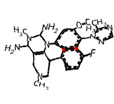 COc1cc(N2C3=C(CN(C)CC3c3ccc(F)cc3)C(N)N(C)C2N)ccc1-n1ncnc1C